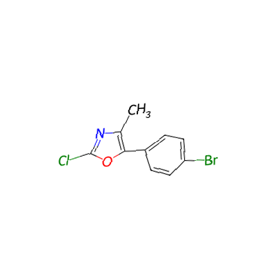 Cc1nc(Cl)oc1-c1ccc(Br)cc1